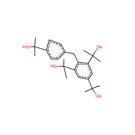 CC(C)(O)c1ccc(Cc2c(C(C)(C)O)cc(C(C)(C)O)cc2C(C)(C)O)cc1